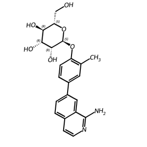 Cc1cc(-c2ccc3ccnc(N)c3c2)ccc1O[C@@H]1O[C@@H](CO)[C@H](O)[C@@H](O)[C@H]1O